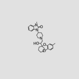 Cc1ccc(Cl)c(OC2(C(O)CN3CCC(n4c(=O)n(C)c5ccccc54)CC3)CCCCC2)c1